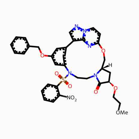 COCCO[C@@H]1C[C@H]2COc3ccn4ncc(c4n3)-c3cc(OCc4ccccc4)cc(c3)N(S(=O)(=O)c3ccccc3[N+](=O)[O-])CCN2C1=O